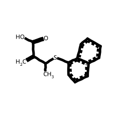 C=C(C(=O)O)C(C)Sc1cccc2ccccc12